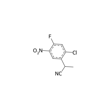 CC(C#N)c1cc([N+](=O)[O-])c(F)cc1Cl